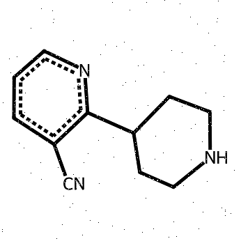 N#Cc1cccnc1C1CCNCC1